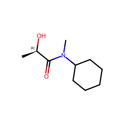 C[C@@H](O)C(=O)N(C)C1CCCCC1